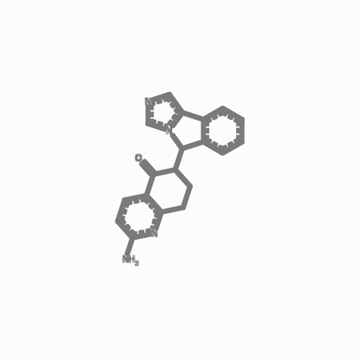 Nc1ccc2c(n1)CCC(C1c3ccccc3-c3cncn31)C2=O